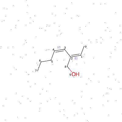 C/C=C(\C=C/CCC)CO